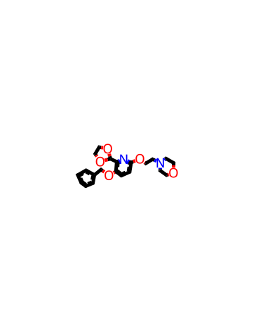 c1ccc(COc2ccc(OCCN3CCOCC3)nc2C2OCCO2)cc1